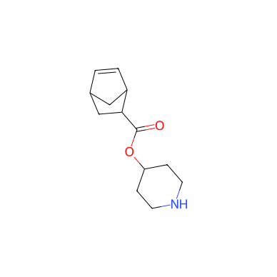 O=C(OC1CCNCC1)C1CC2C=CC1C2